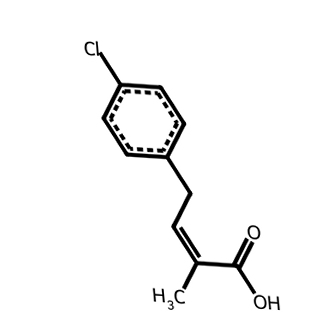 CC(=CCc1ccc(Cl)cc1)C(=O)O